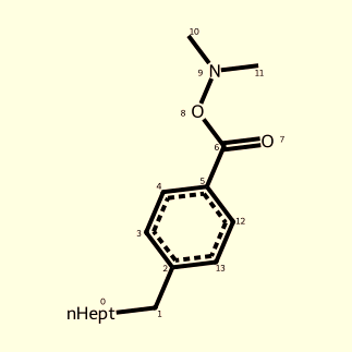 CCCCCCCCc1ccc(C(=O)ON(C)C)cc1